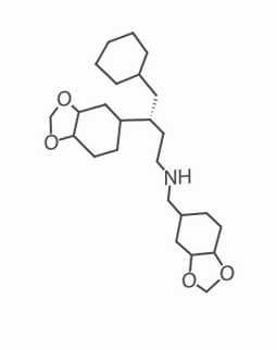 C1CCC(C[C@H](CCNCC2CCC3OCOC3C2)C2CCC3OCOC3C2)CC1